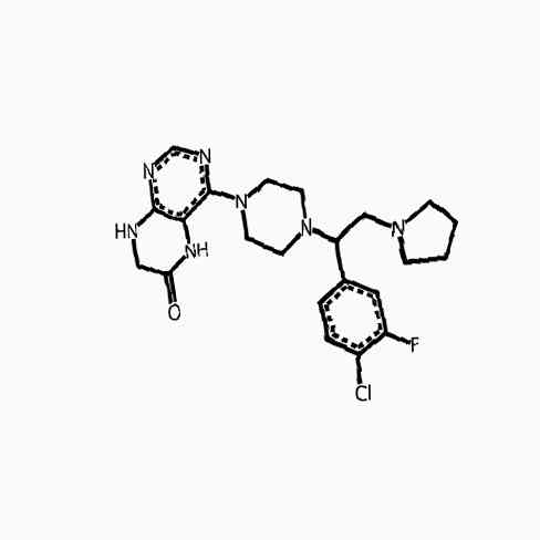 O=C1CNc2ncnc(N3CCN(C(CN4CCCC4)c4ccc(Cl)c(F)c4)CC3)c2N1